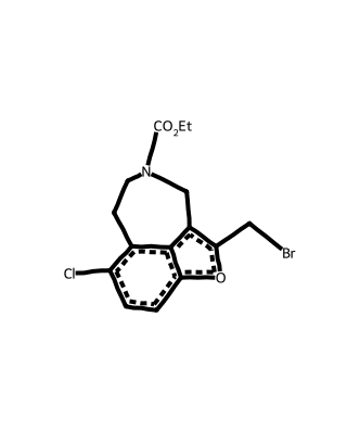 CCOC(=O)N1CCc2c(Cl)ccc3oc(CBr)c(c23)C1